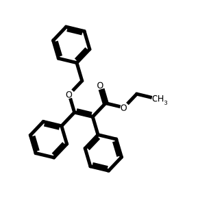 CCOC(=O)C(=C(OCc1ccccc1)c1ccccc1)c1ccccc1